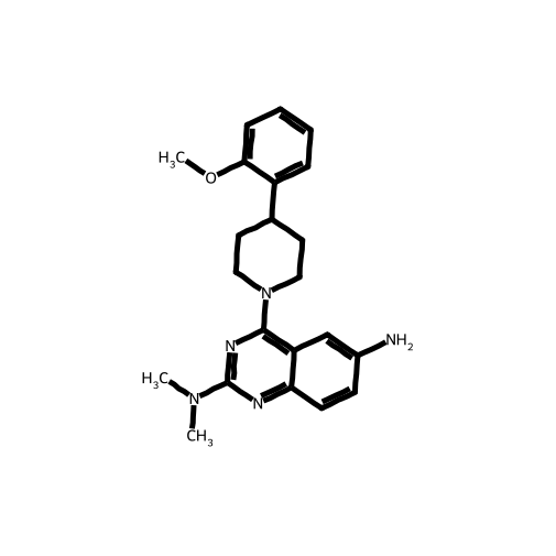 COc1ccccc1C1CCN(c2nc(N(C)C)nc3ccc(N)cc23)CC1